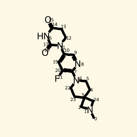 CN1CC2(CCN(c3ncc(N4CCC(=O)NC4=O)cc3F)CC2)C1